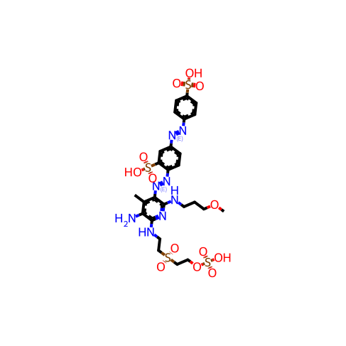 COCCCNc1nc(NCCS(=O)(=O)CCOS(=O)(=O)O)c(N)c(C)c1/N=N/c1ccc(/N=N/c2ccc(S(=O)(=O)O)cc2)cc1S(=O)(=O)O